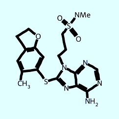 CNS(=O)(=O)CCCn1c(Sc2cc3c(cc2C)CCO3)nc2c(N)ncnc21